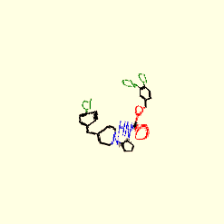 O=C(N[C@@H]1CCC[C@H]1N1CCC(Cc2ccc(Cl)cc2)CC1)OCc1ccc(Cl)c(Cl)c1